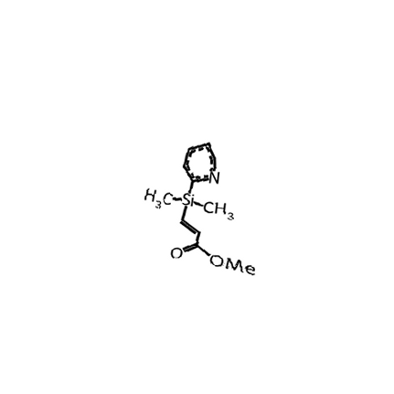 COC(=O)/C=C/[Si](C)(C)c1ccccn1